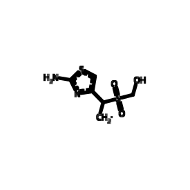 [CH2]C(c1csc(N)n1)S(=O)(=O)CO